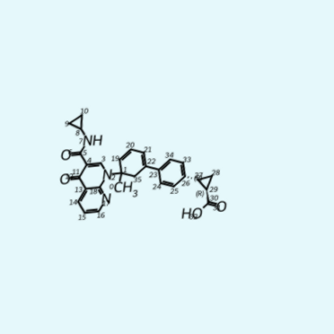 CC1(n2cc(C(=O)NC3CC3)c(=O)c3cccnc32)C=CC=C(c2ccc([C@@H]3C[C@H]3C(=O)O)cc2)C1